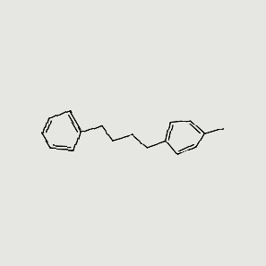 Cc1ccc(CCCCc2ccccc2)cc1